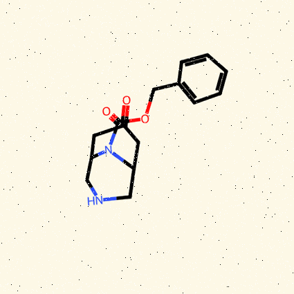 O=C1CC2CNCC(C1)N2C(=O)OCc1ccccc1